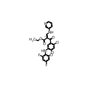 CCOC(=O)/C(=C/Nc1cccnc1)C(=O)c1cc(Nc2c(F)cc(F)cc2Cl)c(Cl)cc1Cl